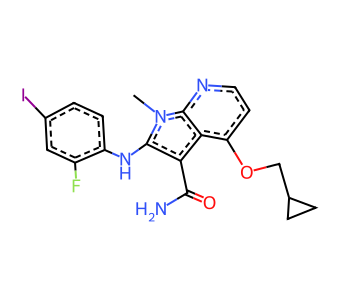 Cn1c(Nc2ccc(I)cc2F)c(C(N)=O)c2c(OCC3CC3)ccnc21